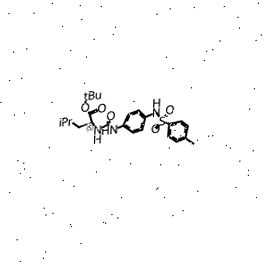 Cc1ccc(S(=O)(=O)Nc2ccc(NC(=O)N[C@@H](CC(C)C)C(=O)OC(C)(C)C)cc2)cc1